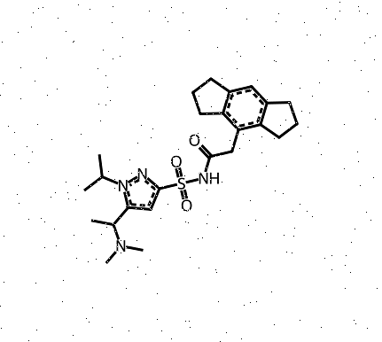 CC(c1cc(S(=O)(=O)NC(=O)Cc2c3c(cc4c2CCC4)CCC3)nn1C(C)C)N(C)C